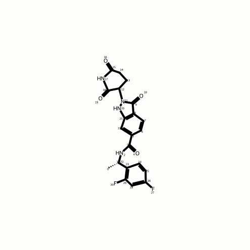 C[C@H](NC(=O)c1ccc2c(=O)n(C3CCC(=O)NC3=O)[nH]c2c1)c1ccc(F)cc1F